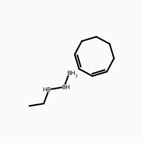 BBBCC.C1=CCCCCC=C1